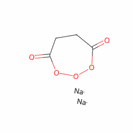 O=C1CCC(=O)OOO1.[Na].[Na]